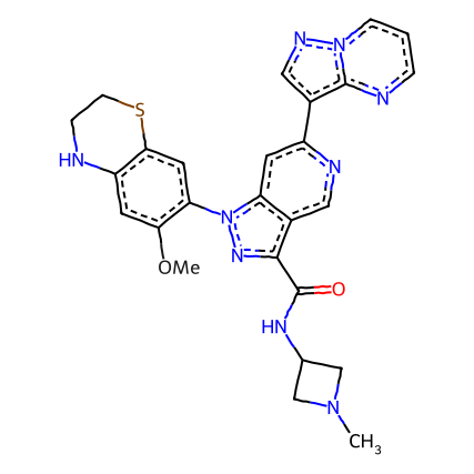 COc1cc2c(cc1-n1nc(C(=O)NC3CN(C)C3)c3cnc(-c4cnn5cccnc45)cc31)SCCN2